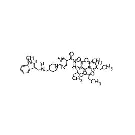 CCC(=O)O[C@H]1[C@H](OC(=O)CC)[C@H](ONC(=O)c2cnc(N3CCC(CNCc4cn(C)c5ccccc45)CC3)nc2)O[C@@H](C)[C@H]1OC(=O)CC